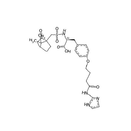 CC1(C)C2CCC1(CS(=O)(=O)N[C@@H](Cc1ccc(OCCCC(=O)Nc3ncc[nH]3)cc1)C(=O)O)C(=O)C2